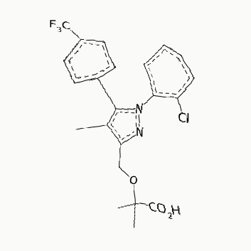 Cc1c(COC(C)(C)C(=O)O)nn(-c2ccccc2Cl)c1-c1ccc(C(F)(F)F)cc1